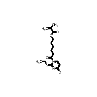 C=C(C)C(=O)OCCCCCC(=O)n1ccc(=O)nc1SCC